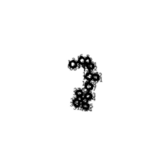 c1ccc(-c2ccc3ccc4ccc(-c5ccc(-c6ccc(-c7ccc8c(c7)C7(c9ccccc9-c9ccccc97)c7ccccc7-8)cc6)c6ccccc56)nc4c3n2)cc1